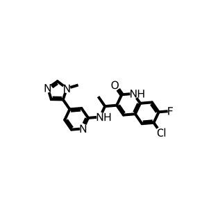 CC(Nc1cc(-c2cncn2C)ccn1)c1cc2cc(Cl)c(F)cc2[nH]c1=O